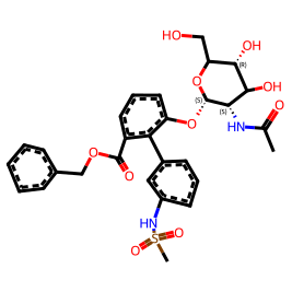 CC(=O)N[C@H]1C(O)[C@@H](O)C(CO)O[C@H]1Oc1cccc(C(=O)OCc2ccccc2)c1-c1cccc(NS(C)(=O)=O)c1